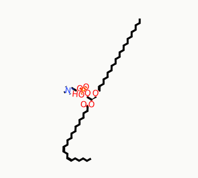 CCCCC/C=C\C/C=C\CCCCCCCCCCCC(=O)O[C@H](COC=CCCCCCCCCCCCCCCCCCCCC)COP(=O)(O)OCC[N+](C)(C)C